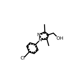 Cc1nn(-c2ccc(Cl)cc2)c(C)c1CO